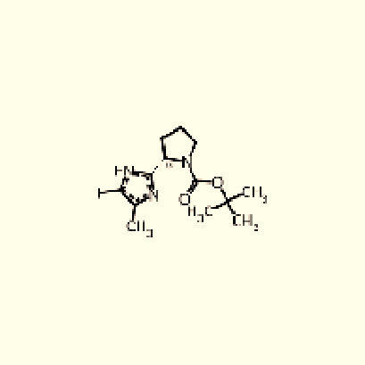 Cc1nc([C@@H]2CCCN2C(=O)OC(C)(C)C)[nH]c1I